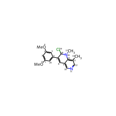 COc1cc(OC)cc(C2=Cc3cncc(C)c3N(C)C2Cl)c1